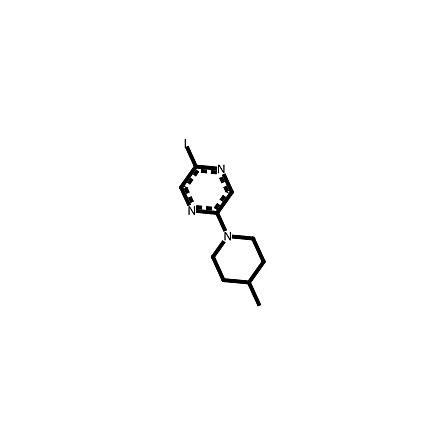 CC1CCN(c2cnc(I)cn2)CC1